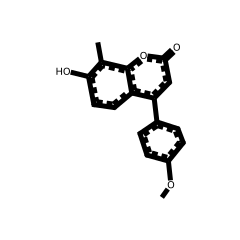 COc1ccc(-c2cc(=O)oc3c(C)c(O)ccc23)cc1